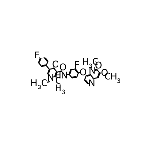 CCn1cc(-c2ccc(F)cc2)c(=O)c(C(=O)Nc2ccc(Oc3ccnc4cc(OC)c(OC)nc34)c(F)c2)c1C